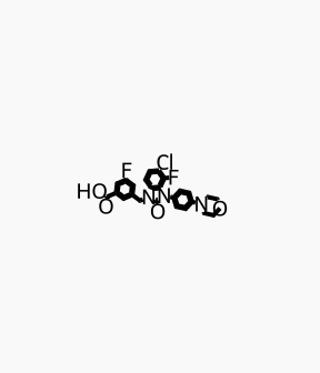 O=C(O)c1cc(F)cc(Cn2c(=O)n(-c3ccc(N4CCOCC4)cc3)c3c(F)c(Cl)ccc32)c1